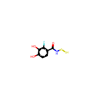 O=C(NSS)c1ccc(O)c(O)c1F